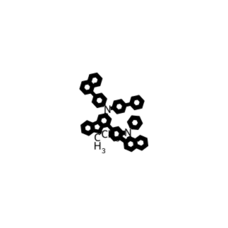 CC1(C)c2ccccc2-c2cc(N(c3ccc(-c4ccccc4)cc3)c3ccc(-c4cccc5ccccc45)cc3)cc(-c3ccc4c5ccc6ccccc6c5n(-c5ccccc5)c4c3)c21